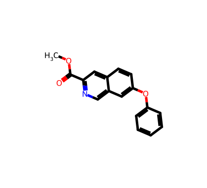 COC(=O)c1cc2ccc(Oc3ccccc3)cc2cn1